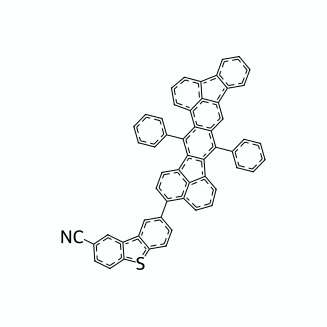 N#Cc1ccc2sc3ccc(-c4ccc5c6c(-c7ccccc7)c7c(cc8c9ccccc9c9cccc7c98)c(-c7ccccc7)c6c6cccc4c65)cc3c2c1